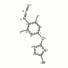 Cc1cc(Oc2nc(Br)cs2)cc(C)c1N=C=S